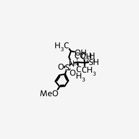 COc1ccc(S(=O)(=O)N(CC(C)O)[C@@](C)(C(=O)O)C(C)(C)S)cc1